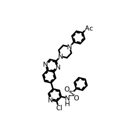 CC(=O)c1ccc(N2CCN(c3cnc4ccc(-c5cnc(Cl)c(NS(=O)(=O)c6ccccc6)c5)cc4n3)CC2)cc1